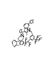 Cc1c(C(=O)N2CCC3(CC2)OCc2ccccc23)c2ccc(Cl)cc2n1Cc1cc(C(F)(F)F)cc(C(F)(F)F)c1